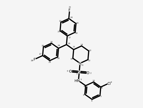 O=S(=O)(Nc1cccc(Cl)c1)N1CCCC(C(c2ccc(F)cc2)c2ccc(F)cc2)C1